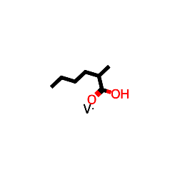 CCCCC(C)C(=O)O.[V]